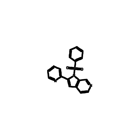 O=S(=O)(c1ccccc1)n1c(-c2c[c]ccn2)cc2ccncc21